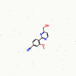 COc1cc(C#N)ccc1-c1nccc(CO)n1